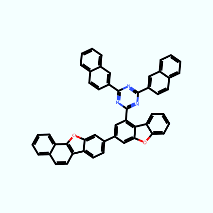 c1ccc2cc(-c3nc(-c4ccc5ccccc5c4)nc(-c4cc(-c5ccc6c(c5)oc5c7ccccc7ccc65)cc5oc6ccccc6c45)n3)ccc2c1